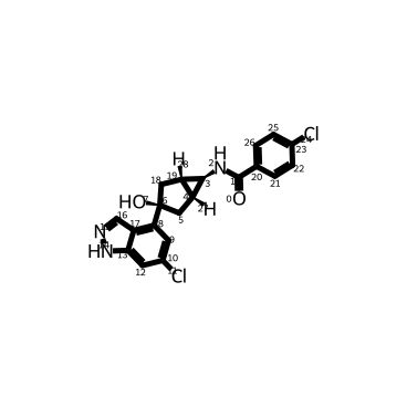 O=C(N[C@H]1[C@@H]2C[C@](O)(c3cc(Cl)cc4[nH]ncc34)C[C@@H]21)c1ccc(Cl)cc1